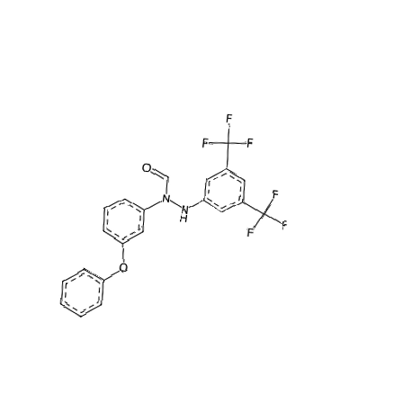 O=CN(Nc1cc(C(F)(F)F)cc(C(F)(F)F)c1)c1cccc(Oc2ccccc2)c1